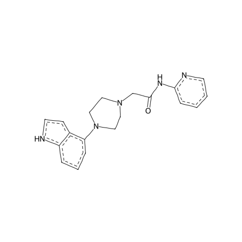 O=C(CN1CCN(c2cccc3[nH]ccc23)CC1)Nc1ccccn1